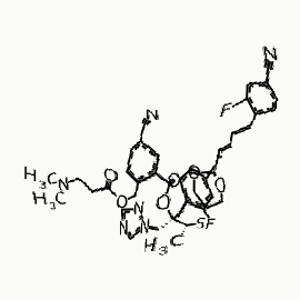 C[C@@H](S[C@H]1CO[C@H](/C=C/C=C/c2ccc(C#N)cc2F)OC1)[C@@](Cn1cncn1)(OC(=O)c1cc(C#N)ccc1COC(=O)CCN(C)C)c1ccc(F)cc1F